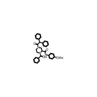 COc1ccc(NC(=O)C2CN(C(=O)C(c3ccccc3)c3ccccc3)CCN2C(=O)c2ccccc2)cc1